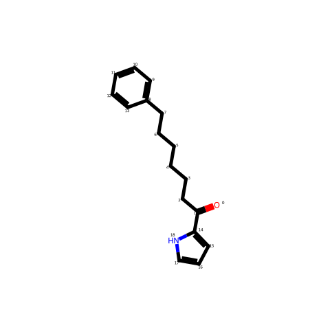 O=C(CCCCCCc1ccccc1)c1ccc[nH]1